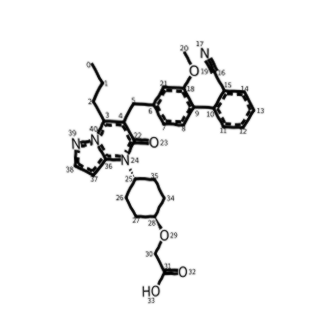 CCCc1c(Cc2ccc(-c3ccccc3C#N)c(OC)c2)c(=O)n([C@H]2CC[C@H](OCC(=O)O)CC2)c2ccnn12